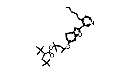 CCCCCc1ccncc1-c1cc2ccc(OC(C)CC(C)(C)OC(=O)C(CC(C)(C)C)C(C)(C)C)cc2o1